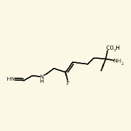 CC(N)(CCC=C(F)CNCC=N)C(=O)O